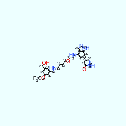 O=c1cc(-c2cc(NCCOCCCCNCc3cc(CO)cc(OC(F)(F)F)c3)c3cn[nH]c3c2)cn[nH]1